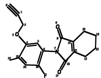 C#CCOc1cc(N2C(=O)C3=C(CCCC3)C2=O)c(F)cc1C